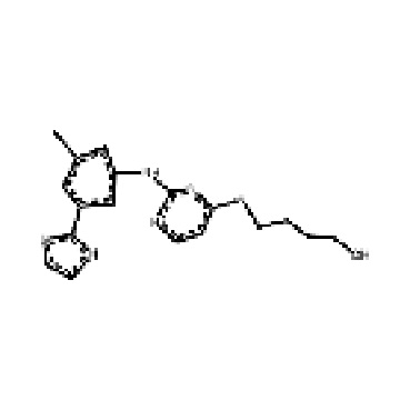 Cc1cc(Nc2nccc(SCCCCO)n2)cc(-c2nccs2)c1